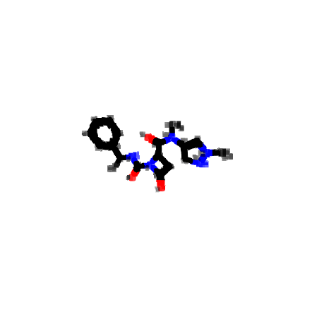 CCC(NC(=O)N1C(=O)CC1C(=O)N(C)C1=CN(C)NC1)c1ccccc1